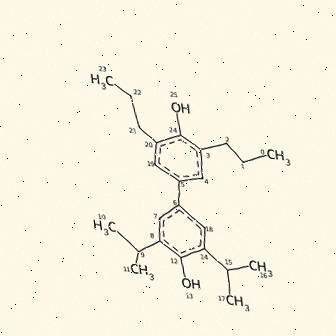 CCCc1cc(-c2cc(C(C)C)c(O)c(C(C)C)c2)cc(CCC)c1O